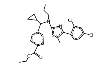 CCCN(c1nc(-c2ccc(Cl)cc2Cl)c(C)s1)C(c1ccc(C(=O)OCC)cc1)C1CC1